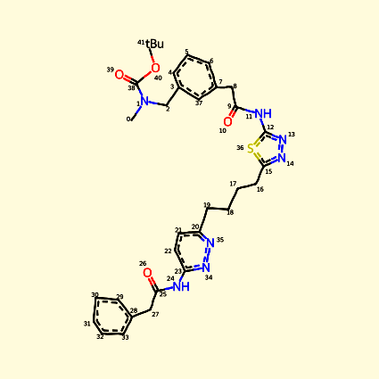 CN(Cc1cccc(CC(=O)Nc2nnc(CCCCc3ccc(NC(=O)Cc4ccccc4)nn3)s2)c1)C(=O)OC(C)(C)C